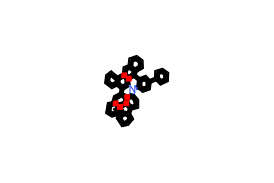 CC1(C)c2ccccc2-c2ccc(N(c3ccc(-c4ccccc4)cc3-c3cccc4ccccc34)c3ccc4ccccc4c3-c3ccc4ccccc4c3)cc21